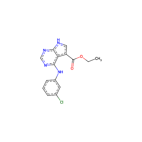 CCOC(=O)c1c[nH]c2ncnc(Nc3cccc(Cl)c3)c12